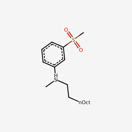 CCCCCCCCCC[SiH](C)c1cccc(S(C)(=O)=O)c1